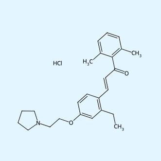 CCc1cc(OCCN2CCCC2)ccc1C=CC(=O)c1c(C)cccc1C.Cl